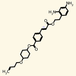 C=CCCOC1CCC(OC(=O)c2ccc(/C=C/C(=O)OCCc3ccc(N)cc3N)cc2)CC1